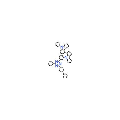 c1ccc(-c2ccc(-c3nc(-c4ccccc4)nc(-c4cccc(-n5c6ccccc6c6cccc(-c7cccc8c7c7ccccc7n8-c7ccccc7)c65)c4)n3)cc2)cc1